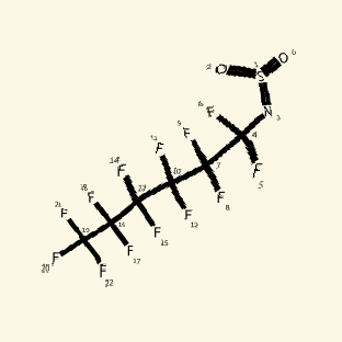 O=S(=O)=NC(F)(F)C(F)(F)C(F)(F)C(F)(F)C(F)(F)C(F)(F)F